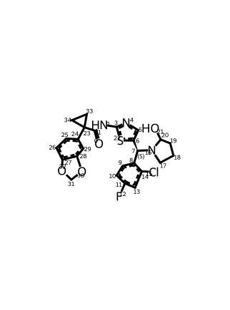 O=C(Nc1ncc([C@H](c2ccc(F)cc2Cl)N2CCCC2O)s1)C1(c2ccc3c(c2)OCO3)CC1